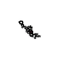 CCCC(=O)Nc1ncnn2c([C@]3(C#N)O[C@H](COC(=O)CC4(C)CCCCC4)[C@H]4OC(C)(C)O[C@H]43)ccc12